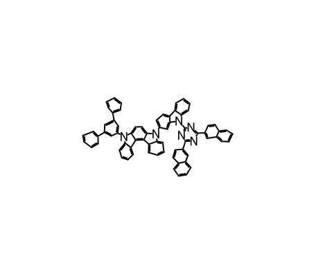 c1ccc(-c2cc(-c3ccccc3)cc(-n3c4ccccc4c4c5c6ccccc6n(-c6ccc7c8ccccc8n(-c8nc(-c9ccc%10ccccc%10c9)nc(-c9ccc%10ccccc%10c9)n8)c7c6)c5ccc43)c2)cc1